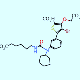 O=C(O)CCCCCNC(=O)N(c1cccc(-c2sc(C(=O)O)c(OCC(=O)O)c2Br)c1)C1CCCCC1